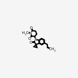 C=CCc1ccc2c(c1)C1(CC1)C(=O)N2C1CCC(=O)N(C)C1=O